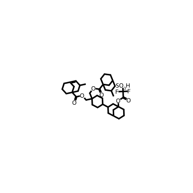 CC1C=C2CCCC(C(=O)OCC3(COC(=O)C45CCCC(CC(C)C4)C5)CCC(C4CC5CCCC(OC(=O)C(F)(F)S(=O)(=O)O)(C5)C4)CC3)(C2)C1